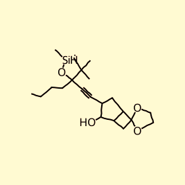 CCCCC(C#CC1CC2C(CC23OCCO3)C1O)(O[SiH](C)C)C(C)(C)C